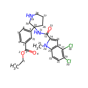 CCOC(=O)c1cccc(C2(NC(=O)c3cc4c(Cl)c(Cl)ccc4n3C)CCCNC2)c1